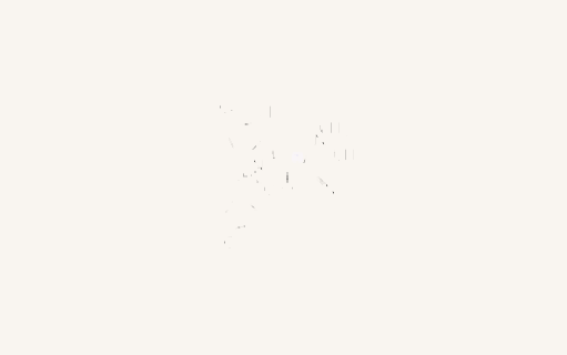 Cc1ccc(S(=O)(=O)n2c(C(=O)/C(C#N)=C/N(C)C)cc3c(Cl)c(Cl)ccc32)cc1